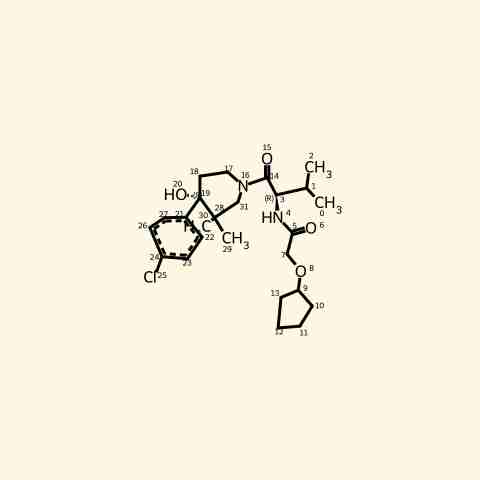 CC(C)[C@@H](NC(=O)COC1CCCC1)C(=O)N1CC[C@](O)(c2ccc(Cl)cc2)C(C)(C)C1